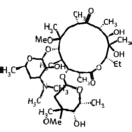 CC[C@@H]1OC(=O)[C@H](C)[C@H](OC2CC(C)(OC)[C@@H](O)[C@@H](C)O2)[C@@H](C)[C@H](O[C@@H]2O[C@H](C)C[C@H](N(C)C)[C@@H]2O)C(C)(OC)C[C@H](C)C(=O)[C@H](C)[C@@H](O)C1(C)O